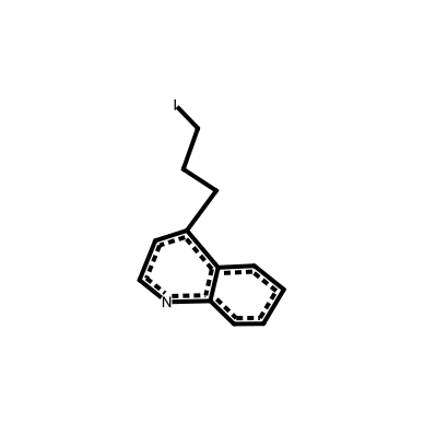 ICCCc1ccnc2ccccc12